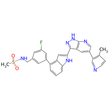 Cc1ccncc1-c1cnc2[nH]nc(-c3cc4c(-c5cc(F)cc(CNS(C)(=O)=O)c5)cccc4[nH]3)c2c1